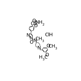 COc1cc(CN2CCC(N(C)C(=O)n3cnc(-c4ccc(OS(N)(=O)=O)cc4)c3)CC2)cc(OC)c1.Cl